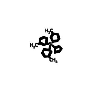 Cc1cccc([Si](C2=[C]CC=C2)(c2cccc(C)c2)c2cccc(C)c2)c1